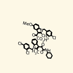 COc1ccc2c(c1)c(C(=O)C(=O)O)c(C)n2Cc1ccc(Cl)cc1.Cc1c(C(=O)C(=O)NC2CCCCC2)c2ccccc2n1Cc1ccc(Cl)cc1Cl